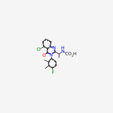 Cc1c(F)ccc(-n2c(C(C)NC(=O)O)nc3cccc(Cl)c3c2=O)c1C